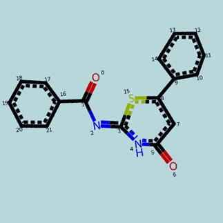 O=C(N=c1[nH]c(=O)cc(-c2ccccc2)s1)c1ccccc1